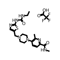 CCNC(=O)Nc1ncc(CN2CCN(c3ccc(C(=O)NC)nc3C)CC2)s1.O=C(O)C(F)(F)F